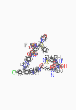 Cc1ncsc1-c1ccc([C@H](C)NC(=O)[C@@H]2C[C@@H](O)CN2C(=O)[C@@H](NC(=O)CCCCCC(=O)N2CC3(CCN(CC4(C)CCC(c5ccc(Cl)cc5)=C(CN5CCN(c6ccc(C(=O)NS(=O)(=O)c7ccc(N[C@H](CCN8CCOCC8)CSc8ccccc8)c(S(=O)(=O)C(F)(F)F)c7)cc6)CC5)C4)CC3)C2)C(C)(C)C)cc1